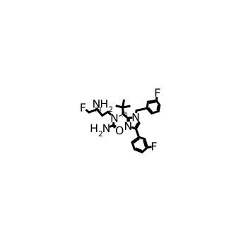 CC(C)(C)[C@H](c1nc(-c2cccc(F)c2)cn1Cc1cccc(F)c1)N(CC[C@H](N)CF)C(N)=O